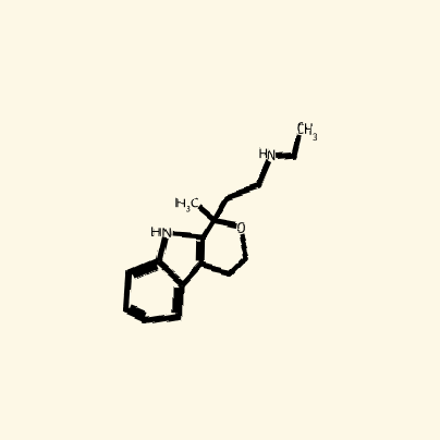 CCNCCC1(C)OCCc2c1[nH]c1ccccc21